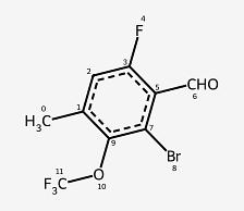 Cc1cc(F)c(C=O)c(Br)c1OC(F)(F)F